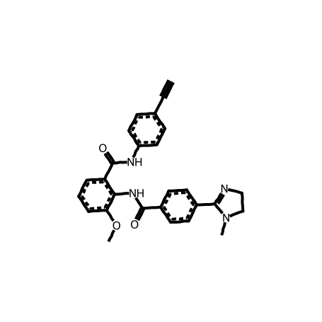 C#Cc1ccc(NC(=O)c2cccc(OC)c2NC(=O)c2ccc(C3=NCCN3C)cc2)cc1